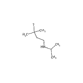 CC(C)NCCC(C)(C)F